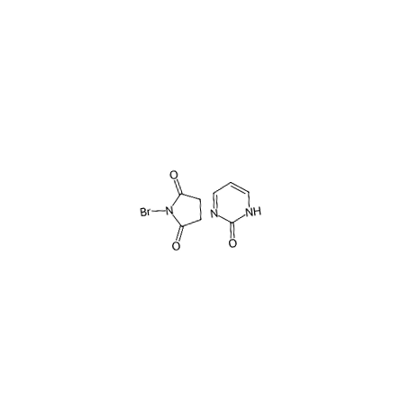 O=C1CCC(=O)N1Br.O=c1nccc[nH]1